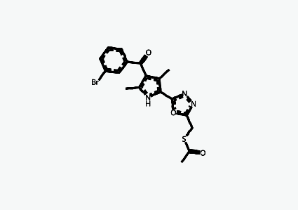 CC(=O)SCc1nnc(-c2[nH]c(C)c(C(=O)c3cccc(Br)c3)c2C)o1